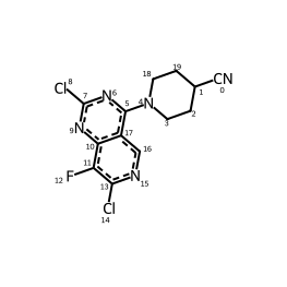 N#CC1CCN(c2nc(Cl)nc3c(F)c(Cl)ncc23)CC1